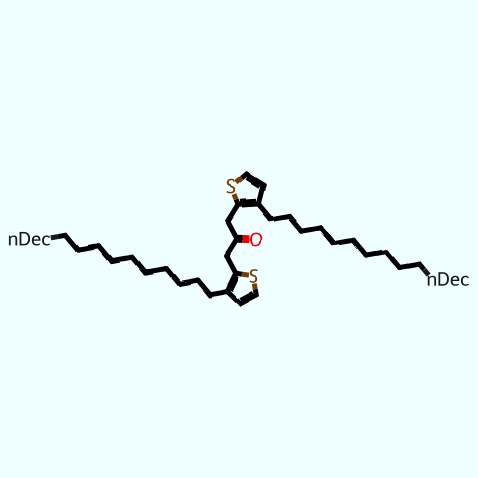 CCCCCCCCCCCCCCCCCCCCc1ccsc1CC(=O)Cc1sccc1CCCCCCCCCCCCCCCCCCCC